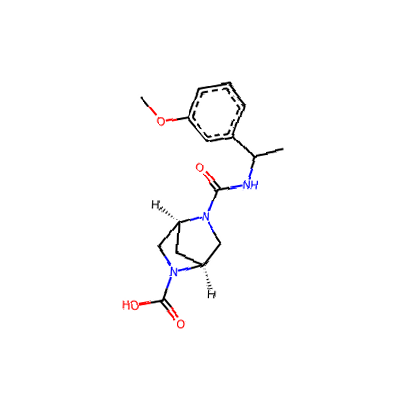 COc1cccc(C(C)NC(=O)N2C[C@@H]3C[C@H]2CN3C(=O)O)c1